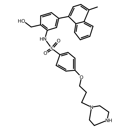 Cc1ccc(-c2ccc(CO)c(NS(=O)(=O)c3ccc(OCCCN4CCNCC4)cc3)c2)c2ccccc12